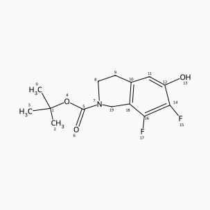 CC(C)(C)OC(=O)N1CCc2cc(O)c(F)c(F)c2C1